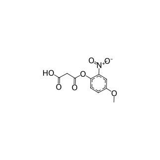 COc1ccc(OC(=O)CC(=O)O)c([N+](=O)[O-])c1